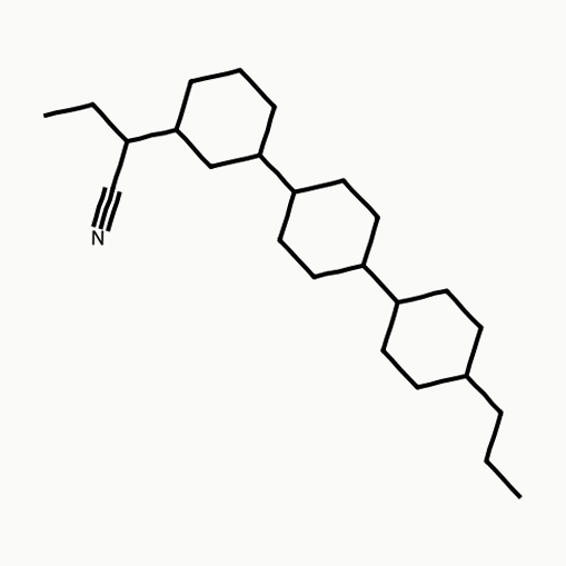 CCCC1CCC(C2CCC(C3CCCC(C(C#N)CC)C3)CC2)CC1